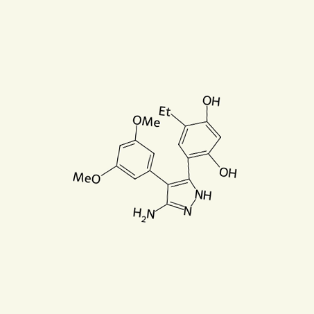 CCc1cc(-c2[nH]nc(N)c2-c2cc(OC)cc(OC)c2)c(O)cc1O